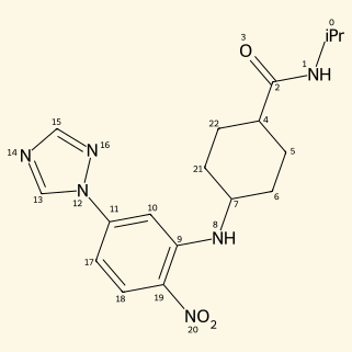 CC(C)NC(=O)C1CCC(Nc2cc(-n3cncn3)ccc2[N+](=O)[O-])CC1